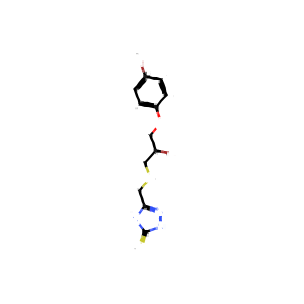 S=c1[nH]nc(CSCC(Br)COc2ccc(Br)cc2)[nH]1